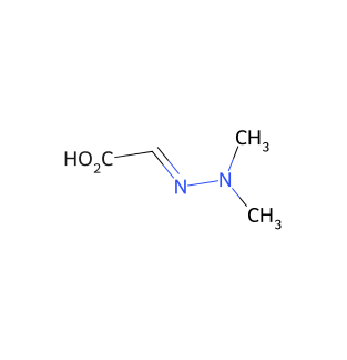 CN(C)/N=C/C(=O)O